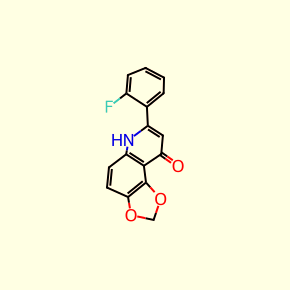 O=c1cc(-c2ccccc2F)[nH]c2ccc3c(c12)OCO3